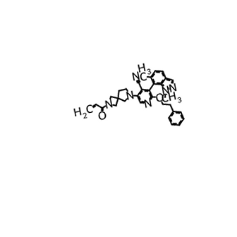 C=CC(=O)N1CC2(CCN(c3cnc(OCCc4ccccc4)c(-c4c(C)ccc5cnn(C)c45)c3C#N)C2)C1